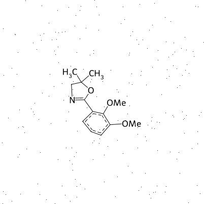 COc1cccc(C2=NCC(C)(C)O2)c1OC